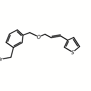 BrCc1cccc(COCC=Cc2ccsc2)c1